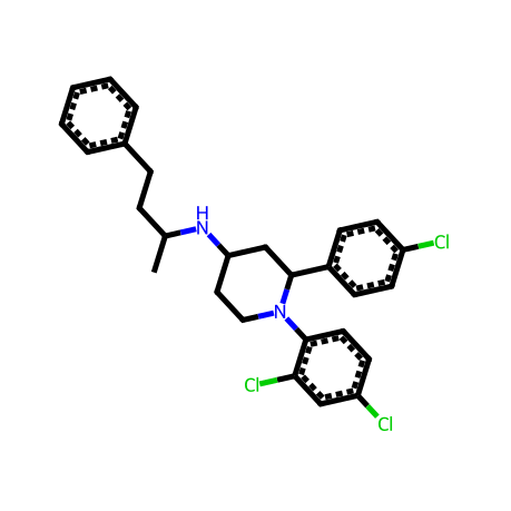 CC(CCc1ccccc1)NC1CCN(c2ccc(Cl)cc2Cl)C(c2ccc(Cl)cc2)C1